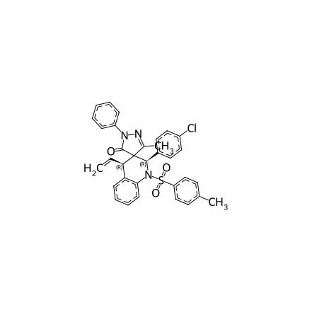 C=C[C@@H]1c2ccccc2N(S(=O)(=O)c2ccc(C)cc2)[C@H](c2ccc(Cl)cc2)C12C(=O)N(c1ccccc1)N=C2C